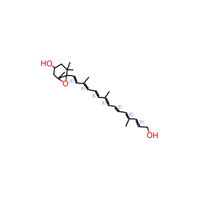 CC(/C=C/C=C(C)/C=C/C12OC1(C)CC(O)CC2(C)C)=C\C=C\C=C(C)\C=C\CO